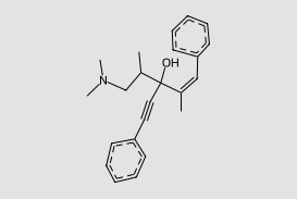 C/C(=C/c1ccccc1)C(O)(C#Cc1ccccc1)C(C)CN(C)C